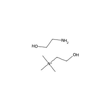 C[N+](C)(C)CCO.NCCO